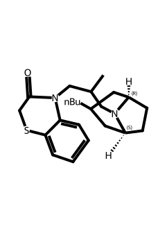 CCCCC1C[C@H]2CC[C@@H](C1)N2CC(C)CN1C(=O)CSc2ccccc21